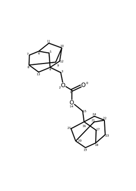 O=C(OCC12CC3CC(CC(C3)C1)C2)OCC12CC3CC(CC(C3)C1)C2